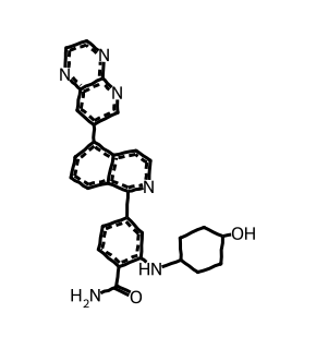 NC(=O)c1ccc(-c2nccc3c(-c4cnc5nccnc5c4)cccc23)cc1NC1CCC(O)CC1